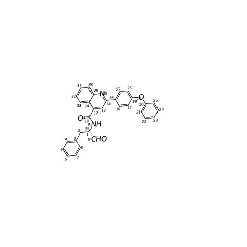 O=C[C@H](Cc1ccccc1)NC(=O)c1cc(-c2ccc(Oc3ccccc3)cc2)nc2ccccc12